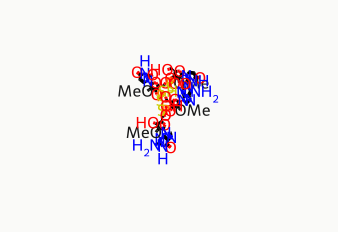 COC1C(OP(O)(=S)OC[C@H]2O[C@@H](n3ccc(=O)[nH]c3=O)C(OC)C2OP(=S)(S)OC[C@H]2O[C@@H](n3cnc4c(N)ncnc43)C(OC)C2OP(O)(=S)OC[C@H]2O[C@@H](n3cnc4c(=O)[nH]c(N)nc43)C(OC)C2O)[C@@H](CO)O[C@H]1n1ccc(=O)[nH]c1=O